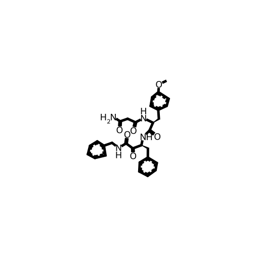 COc1ccc(C[C@H](NC(=O)CC(N)=O)C(=O)N[C@@H](Cc2ccccc2)C(=O)C(=O)NCc2ccccc2)cc1